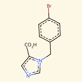 O=C(O)c1cncn1Cc1ccc(Br)cc1